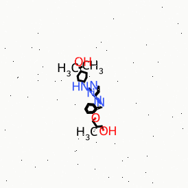 C[C@@H](CO)COc1cccc2c1cnn2-c1ccnc(N[C@H]2CC[C@H](C(C)(C)O)CC2)n1